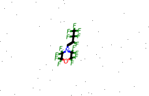 FC(=CN1C(F)(F)C(F)(F)OC(F)(F)C1(F)F)C(F)(F)C(F)(F)F